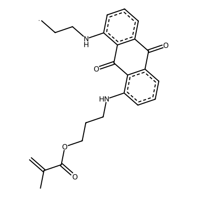 [CH2]CCNc1cccc2c1C(=O)c1c(NCCCOC(=O)C(=C)C)cccc1C2=O